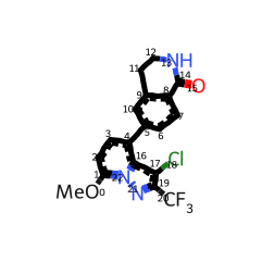 COc1ccc(-c2ccc3c(c2)CCNC3=O)c2c(Cl)c(C(F)(F)F)nn12